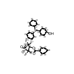 O=C(OC(C(F)(F)F)C(F)(F)S(=O)(=O)[O-])c1ccccc1.Oc1ccc([S+](c2ccccc2)c2ccccc2)cc1